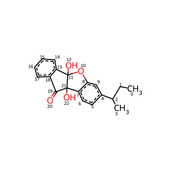 CCC(C)c1ccc2c(c1)OC1(O)c3ccccc3C(=O)C21O